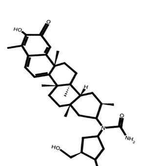 CC1=C(O)C(=O)C=C2C1=CC=C1[C@@]2(C)CC[C@@]2(C)[C@@H]3C[C@@H](C)C(N(C(N)=O)C4CC(O)[C@@H](CO)C4)C[C@]3(C)CC[C@]12C